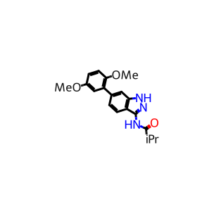 COc1ccc(OC)c(-c2ccc3c(NC(=O)C(C)C)n[nH]c3c2)c1